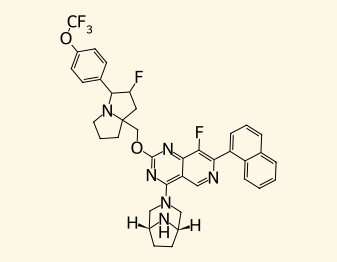 Fc1c(-c2cccc3ccccc23)ncc2c(N3C[C@H]4CC[C@@H](C3)N4)nc(OCC34CCCN3C(c3ccc(OC(F)(F)F)cc3)C(F)C4)nc12